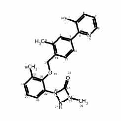 Cc1cc(-c2ncccc2F)ccc1COc1c(C)cccc1-n1[nH]n(C)c1=O